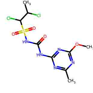 COc1nc(C)nc(NC(=O)NS(=O)(=O)C(Cl)C(C)Cl)n1